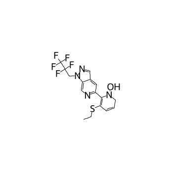 CCSC1=C(c2cc3cnn(CC(F)(F)C(F)(F)F)c3cn2)N(O)CC=C1